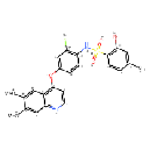 COc1cc2nccc(Oc3ccc(NS(=O)(=O)c4ccc(C(F)(F)F)cc4Br)c(F)c3)c2cc1OC